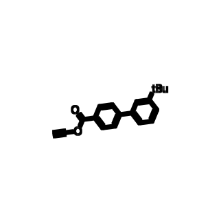 C#COC(=O)c1ccc(-c2cccc(C(C)(C)C)c2)cc1